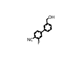 N#Cc1ccc(-c2cccc(CO)c2)cc1F